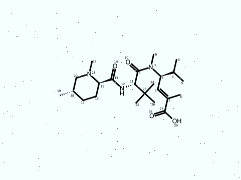 C/C(=C\[C@H](C(C)C)N(C)C(=O)[C@@H](NC(=O)[C@H]1CC[C@H](C)CN1C)C(C)(C)C)C(=O)O